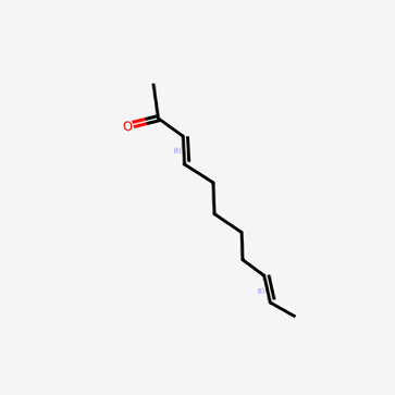 C/C=C/CCCC/C=C/C(C)=O